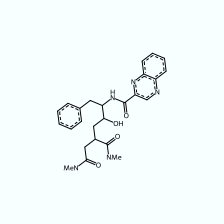 CNC(=O)CC(CC(O)C(Cc1ccccc1)NC(=O)c1cnc2ccccc2n1)C(=O)NC